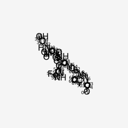 COc1ccc(CN2CCN(C3CC4(CCN(c5ccc(C(=O)NS(=O)(=O)c6ccc(NC[C@H]7CC[C@](C)(O)CC7)c([N+](=O)[O-])c6)c(Oc6cnc7[nH]cc(F)c7c6)c5)CC4)C3)[C@@H](c3ccccc3C(C)C)C2)cc1